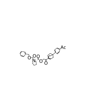 CC(=O)c1ccc(C23CCC(C(=O)COC(=O)[C@@H]4CCCN4C(=O)OCc4ccccc4)(CC2)CC3)cc1